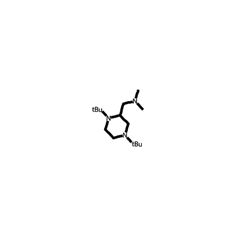 CN(C)CC1CN(C(C)(C)C)CCN1C(C)(C)C